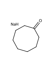 O=C1CCCCCCC1.[NaH]